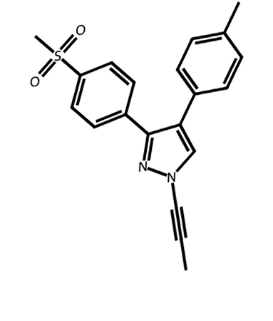 CC#Cn1cc(-c2ccc(C)cc2)c(-c2ccc(S(C)(=O)=O)cc2)n1